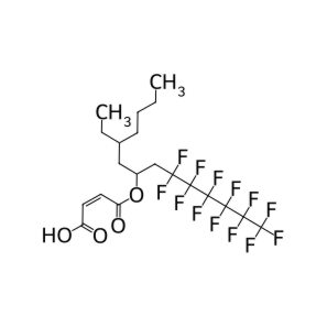 CCCCC(CC)CC(CC(F)(F)C(F)(F)C(F)(F)C(F)(F)C(F)(F)C(F)(F)F)OC(=O)/C=C\C(=O)O